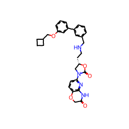 O=C1COc2ccc(N3C[C@H](CCNCc4cccc(-c5cccc(OCC6CCC6)c5)c4)OC3=O)nc2N1